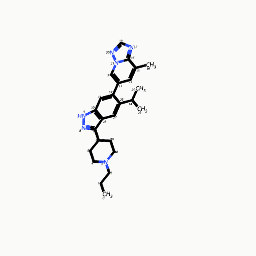 CCCN1CCC(c2n[nH]c3cc(-c4cc(C)c5ncnn5c4)c(C(C)C)cc23)CC1